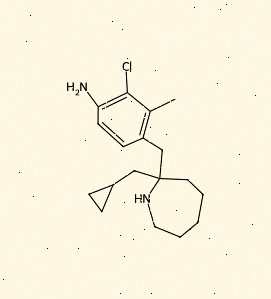 Cc1c(CC2(CC3CC3)CCCCCN2)ccc(N)c1Cl